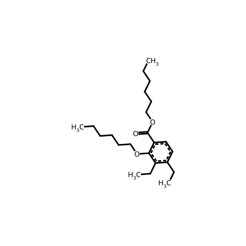 CCCCCCOC(=O)c1ccc(CC)c(CC)c1OCCCCCC